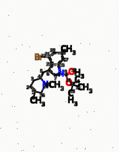 CC1=CC[C@@H](Cc2cn(C(=O)OC(C)(C)C)c3cc(C)cc(Br)c23)N(C)C1